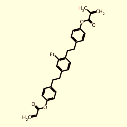 C=CC(=O)Oc1ccc(CCc2ccc(CCc3ccc(OC(=O)C(=C)C)cc3)c(CC)c2)cc1